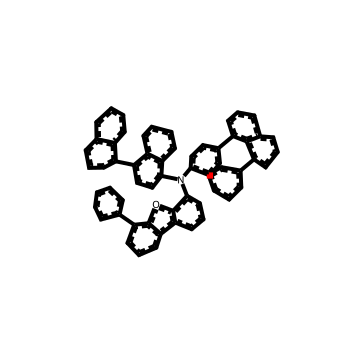 c1ccc(-c2cccc3c2oc2c(N(c4ccc(-c5cccc6cccc(-c7ccccc7)c56)cc4)c4ccc(-c5cccc6ccccc56)c5ccccc45)cccc23)cc1